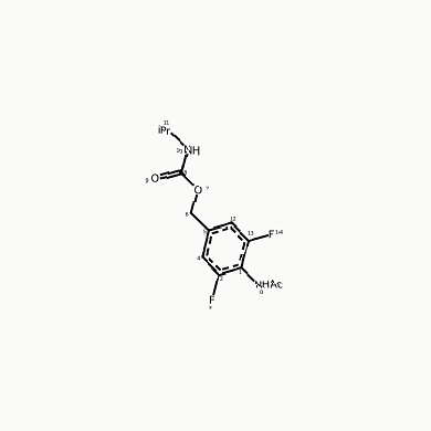 CC(=O)Nc1c(F)cc(COC(=O)NC(C)C)cc1F